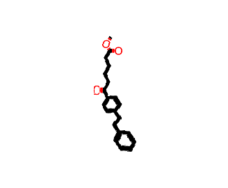 COC(=O)CCCCC(=O)c1ccc(CCc2ccccc2)cc1